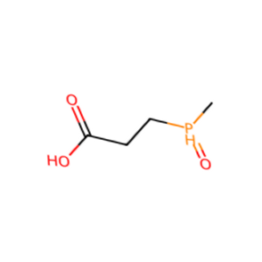 C[PH](=O)CCC(=O)O